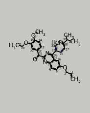 C=CCOc1ccc2nc(C(=O)c3ccc(OC)c(OCC)c3)nc(C(/C=C\C(=C)C(C)C)=C/C)c2c1